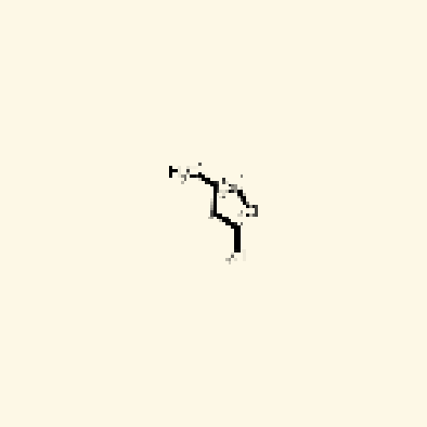 CCCCCl.[SiH3]Cl